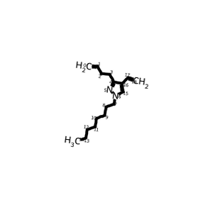 C=CCCc1nn(CCCCCCCC)cc1C=C